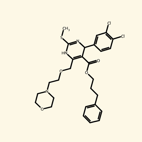 CSC1=NC(c2ccc(Cl)c(Cl)c2)C(C(=O)OCCCc2ccccc2)=C(COCCN2CCOCC2)N1